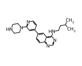 CC(C)CCNc1ncnc2ccc(-c3ccnc(N4CCNCC4)c3)cc12